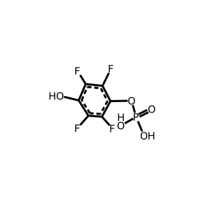 O=P(O)(O)Oc1c(F)c(F)c(O)c(F)c1F